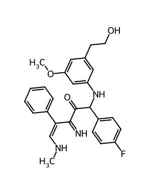 CN/C=C(\C(=N)C(=O)C(Nc1cc(CCO)cc(OC)c1)c1ccc(F)cc1)c1ccccc1